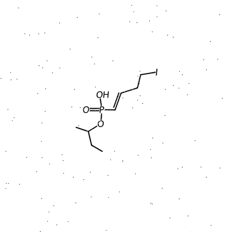 CCC(C)OP(=O)(O)C=CCCI